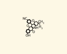 CC1(C)CC(=O)C2=C(C1)NC1=C(C(=O)c3ccc(O)cc3C1=O)C2c1ccc(C#N)cc1